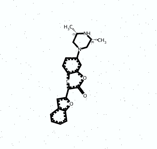 C[C@@H]1CN(c2ccc3cc(-c4cc5ccccc5o4)c(=O)oc3c2)C[C@H](C)N1